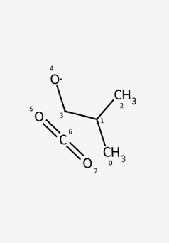 CC(C)C[O].O=C=O